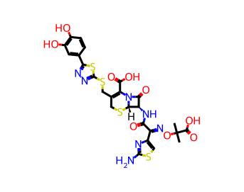 CC(C)(ON=C(C(=O)N[C@@H]1C(=O)N2C(C(=O)O)=C(CSc3nnc(-c4ccc(O)c(O)c4)s3)CS[C@@H]12)c1csc(N)n1)C(=O)O